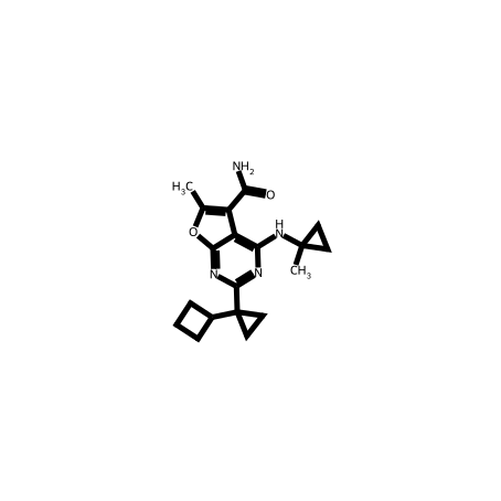 Cc1oc2nc(C3(C4CCC4)CC3)nc(NC3(C)CC3)c2c1C(N)=O